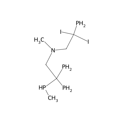 CPC(P)(P)CN(C)CC(P)(I)I